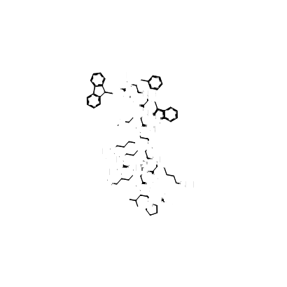 CSCC[C@H](NC(=O)[C@H](Cc1c[nH]c2ccccc12)NC(=O)[C@H](Cc1ccccc1)NC(=O)OCC1c2ccccc2-c2ccccc21)C(=O)N[C@@H](CCCCN)C(=O)N[C@@H](CCCNC(=N)N)C(=O)N[C@@H](CCCCN)C(=O)N[C@@H](CCCCN)C(=O)N[C@H](C(=O)N1CCC[C@H]1C(=O)O)C(C)C